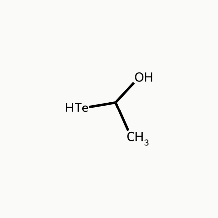 CC(O)[TeH]